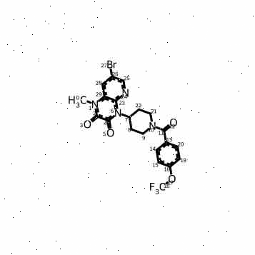 Cn1c(=O)c(=O)n(C2CCN(C(=O)c3ccc(OC(F)(F)F)cc3)CC2)c2ncc(Br)cc21